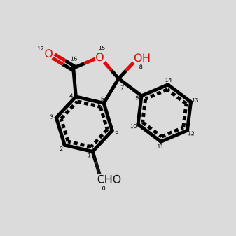 O=Cc1ccc2c(c1)C(O)(c1ccccc1)OC2=O